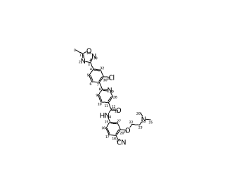 Cc1nc(-c2ccc(-c3ccc(C(=O)Nc4ccc(C#N)c(OCCN(C)C)c4)cn3)c(Cl)c2)no1